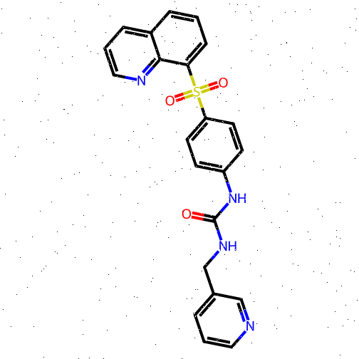 O=C(NCc1cccnc1)Nc1ccc(S(=O)(=O)c2cccc3cccnc23)cc1